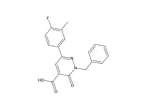 Cc1cc(-c2cc(C(=O)O)c(=O)n(Cc3ccccc3)n2)ccc1F